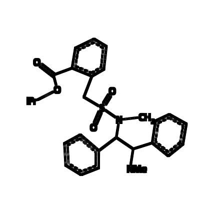 CNC(c1ccccc1)C(c1ccccc1)N(C)S(=O)(=O)Cc1ccccc1C(=O)OC(C)C